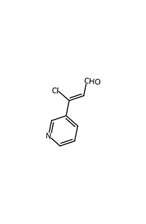 O=CC=C(Cl)c1cccnc1